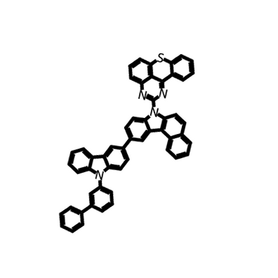 c1ccc(-c2cccc(-n3c4ccccc4c4cc(-c5ccc6c(c5)c5c7ccccc7ccc5n6-c5nc6c7c(cccc7n5)Sc5ccccc5-6)ccc43)c2)cc1